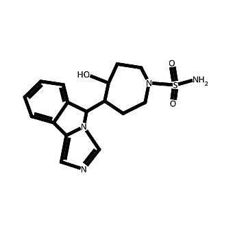 NS(=O)(=O)N1CCC(O)C(C2c3ccccc3-c3cncn32)CC1